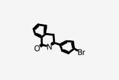 O=C1N=C(c2ccc(Br)cc2)Cc2ccccc21